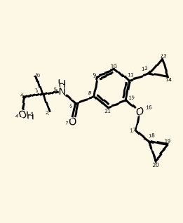 CC(C)(CO)NC(=O)c1ccc(C2CC2)c(OCC2CC2)c1